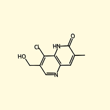 Cc1cc2ncc(CO)c(Cl)c2[nH]c1=O